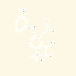 N#Cc1cccc(Oc2ccc3c(c2C(F)F)C(=O)C(F)(F)S3(=O)=O)c1